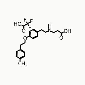 Cc1ccc(CCOc2ccc(CCNCCC(=O)O)cc2)cc1.O=C(O)C(F)(F)F